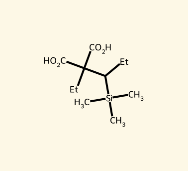 CCC(C(CC)(C(=O)O)C(=O)O)[Si](C)(C)C